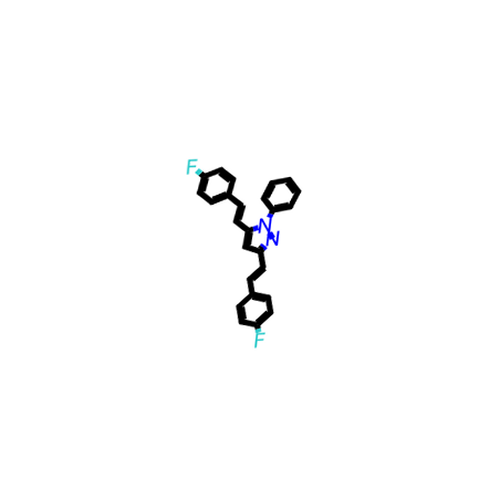 Fc1ccc(/C=C/c2cc(/C=C/c3ccc(F)cc3)n(-c3ccccc3)n2)cc1